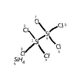 Cl[Si](Cl)(Cl)[Si](Cl)(Cl)Cl.[SiH4]